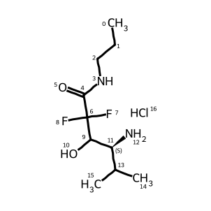 CCCNC(=O)C(F)(F)C(O)[C@@H](N)C(C)C.Cl